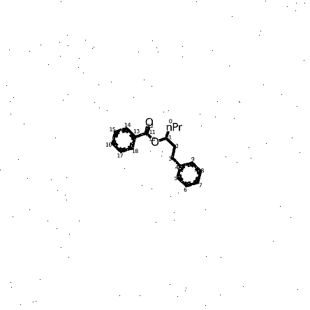 CCCC(CCc1ccccc1)OC(=O)c1ccccc1